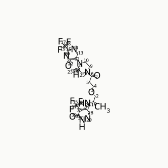 C[C@@H](COCCC(=O)N1CCN2c3cnc(C(F)(F)F)nc3OC[C@H]2C1)Nc1cn[nH]c(=O)c1C(F)(F)F